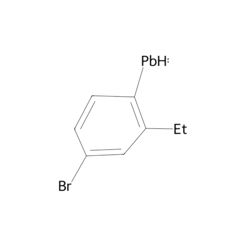 CCc1cc(Br)cc[c]1[PbH]